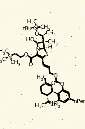 C=C(C)[C@@H]1CCC(C)=C[C@H]1c1c(O)cc(CCCCC)cc1OC(=O)OC/C=C/C1=C(C(=O)OCC[Si](C)(C)C)N2C(O)[C@](C)([C@@H](C)O[Si](C)(C)C(C)(C)C)[C@H]2S1